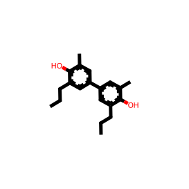 CCCc1cc(-c2cc(C)c(O)c(CCC)c2)cc(C)c1O